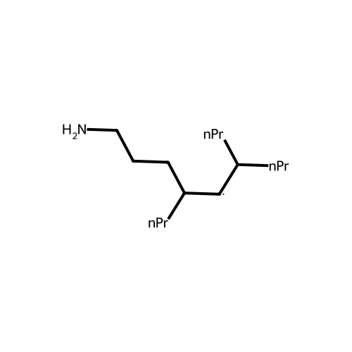 CCCC([CH]C(CCC)CCCN)CCC